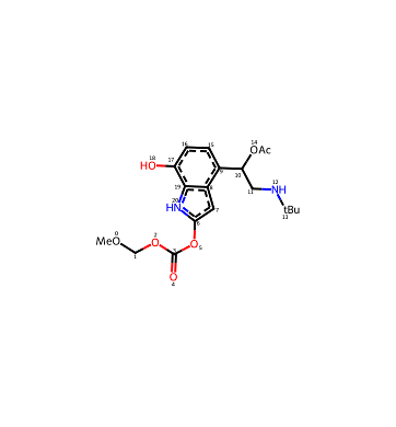 COCOC(=O)Oc1cc2c(C(CNC(C)(C)C)OC(C)=O)ccc(O)c2[nH]1